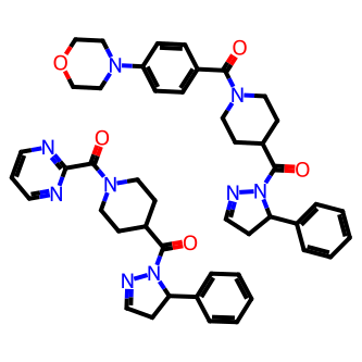 O=C(c1ccc(N2CCOCC2)cc1)N1CCC(C(=O)N2N=CCC2c2ccccc2)CC1.O=C(c1ncccn1)N1CCC(C(=O)N2N=CCC2c2ccccc2)CC1